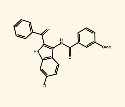 COc1cccc(C(=O)Nc2c(C(=O)c3ccccc3)[nH]c3cc(Cl)ccc23)c1